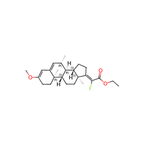 CCOC(=O)C(F)=C1CC[C@H]2[C@@H]3[C@@H](C)C=C4C=C(OC)CC[C@]4(C)[C@H]3CC[C@]12C